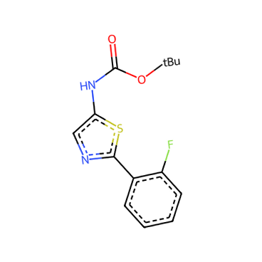 CC(C)(C)OC(=O)Nc1cnc(-c2ccccc2F)s1